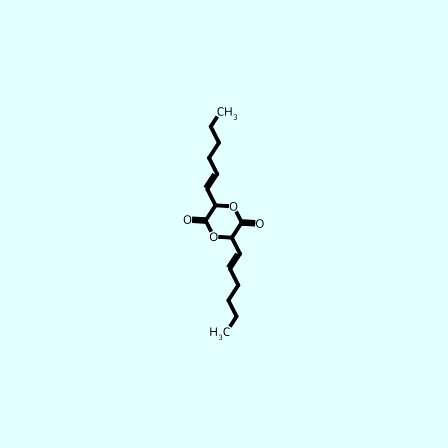 CCCCC=CC1OC(=O)C(C=CCCCC)OC1=O